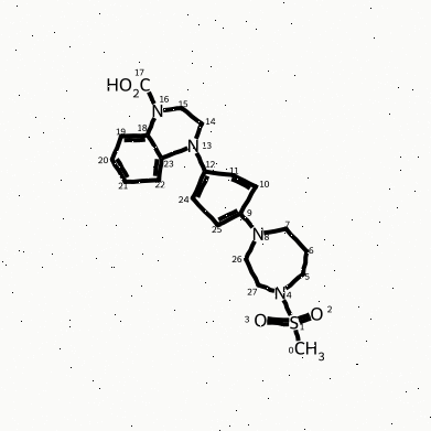 CS(=O)(=O)N1CCCN(c2ccc(N3CCN(C(=O)O)c4ccccc43)cc2)CC1